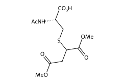 COC(=O)CC(SC[C@H](NC(C)=O)C(=O)O)C(=O)OC